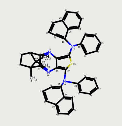 CC12CCC(c3nc4c(N(c5ccccc5)c5cccc6ccccc56)sc(N(c5ccccc5)c5cccc6ccccc56)c4nc31)C2(C)C